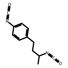 CC(CCc1ccc(N=C=O)cc1)N=C=O